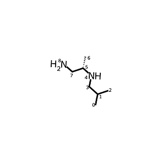 CC(C)CN[C@@H](C)CN